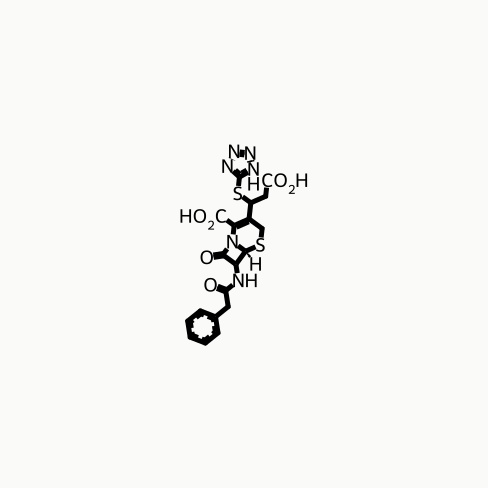 O=C(O)CC(Sc1nnn[nH]1)C1=C(C(=O)O)N2C(=O)C(NC(=O)Cc3ccccc3)[C@@H]2SC1